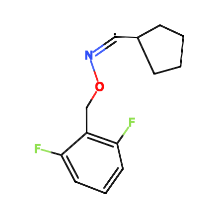 Fc1cccc(F)c1CO/N=[C]\C1CCCC1